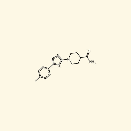 Cc1ccc(-c2cnc(N3CCC(C(N)=O)CC3)s2)cc1